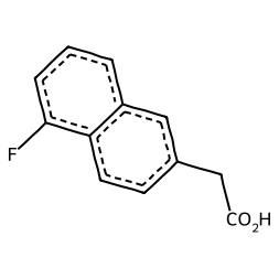 O=C(O)Cc1ccc2c(F)cccc2c1